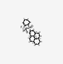 O=P(c1ccccc1)(c1cc2ccc3cccc4ccc(c1)c2c34)C(F)(F)C(F)(F)F